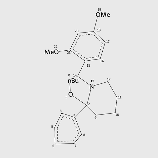 CCCCOC1(c2ccccc2)CCCCN1Cc1ccc(OC)cc1OC